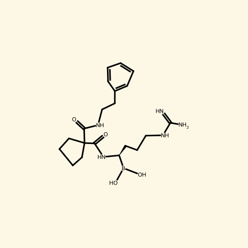 N=C(N)NCCC[C@H](NC(=O)C1(C(=O)NCCc2ccccc2)CCCC1)B(O)O